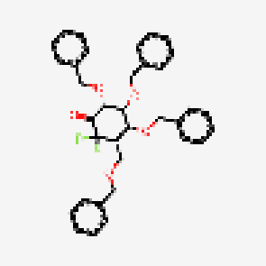 O=C1[C@H](OCc2ccccc2)[C@@H](OCc2ccccc2)[C@H](OCc2ccccc2)[C@@H](COCc2ccccc2)C1(F)F